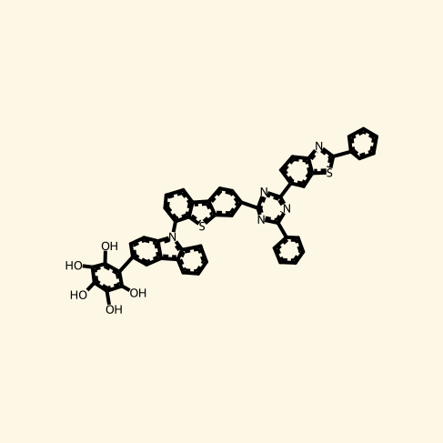 Oc1c(O)c(O)c(-c2ccc3c(c2)c2ccccc2n3-c2cccc3c2sc2cc(-c4nc(-c5ccccc5)nc(-c5ccc6nc(-c7ccccc7)sc6c5)n4)ccc23)c(O)c1O